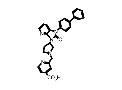 O=C(O)c1ccnc(CN2CCC(n3c(=O)n(-c4ccc(-c5ccccc5)cc4)c4cccnc43)C2)c1